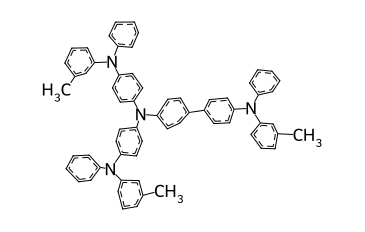 Cc1cccc(N(c2ccccc2)c2ccc(-c3ccc(N(c4ccc(N(c5ccccc5)c5cccc(C)c5)cc4)c4ccc(N(c5ccccc5)c5cccc(C)c5)cc4)cc3)cc2)c1